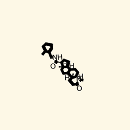 Cc1ccccc1CNC(=O)[C@H]1CC[C@H]2[C@@H]3CC[C@H]4N(C)C(=O)C=C[C@]4(C)[C@H]3CC[C@]12C